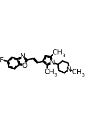 Cc1cc(C=Cc2nc3cc(F)ccc3o2)c(C)n1C1CCN(C)CC1